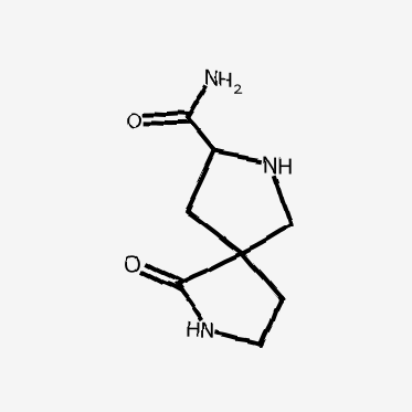 NC(=O)C1CC2(CCNC2=O)CN1